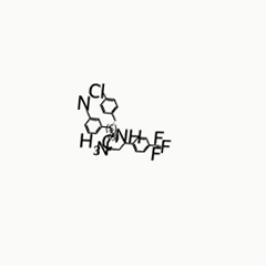 C[C@H](NC(CC#N)c1ccc(C(F)(F)F)cc1)[C@@H](Cc1ccc(Cl)cc1)c1cccc(C#N)c1